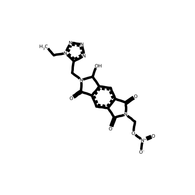 CCn1nnnc1CN1C(=O)c2cc3c(cc2C1O)C(=O)N(CO[N+](=O)[O-])C3=O